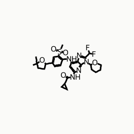 CC1(C)CCC(c2ccc(Nc3cc(NC(=O)C4CC4)nc4c3nc(C(F)F)n4C3CCCCO3)c(S(C)(=O)=O)c2)O1